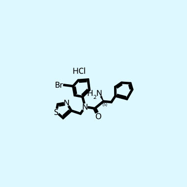 Cl.N[C@@H](Cc1ccccc1)C(=O)N(Cc1cscn1)c1cccc(Br)c1